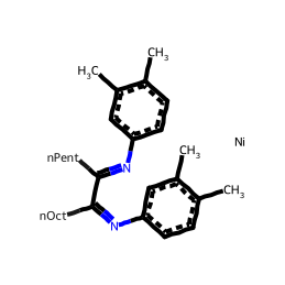 CCCCCCCCC(=Nc1ccc(C)c(C)c1)C(CCCCC)=Nc1ccc(C)c(C)c1.[Ni]